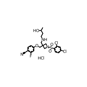 CC(O)CCNCC1(COc2ccc(C#N)c(F)c2)CN(S(=O)(=O)c2ccc(Cl)cc2Cl)C1.Cl